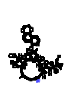 CCC(C)N(C(=O)O)[C@@H]1C(=O)N2[C@@H](C[C@@](C)(Oc3nccc4c5c(ccc34)OCCO5)C2(F)F)C(=O)N[C@]2(C(=O)NS(=O)(=O)C3(CF)CC3)C[C@H]2/C=C\CC[C@H](C)C[C@H]1CC